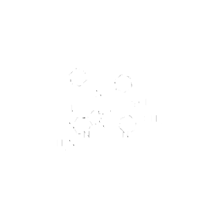 COc1c(C)cnc(Cn2cc(CN(Cc3ccccc3)Cc3ccccc3)c3c(Cl)nc(N)nc32)c1C